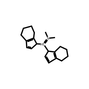 C[Si](C)=[Hf]([CH]1C=CC2=C1CCCC2)[CH]1C=CC2=C1CCCC2